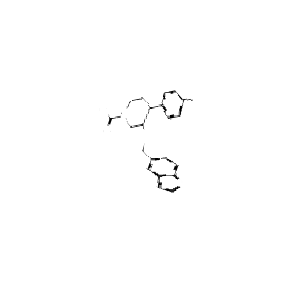 O=C(O)N1CCC(c2ccc(F)cc2)C(OCc2ccc3sccc3c2)C1